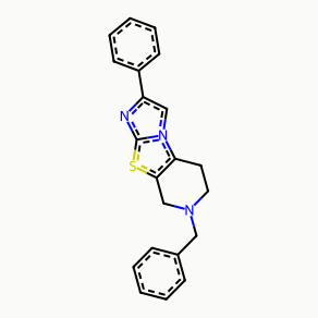 c1ccc(CN2CCc3c(sc4nc(-c5ccccc5)cn34)C2)cc1